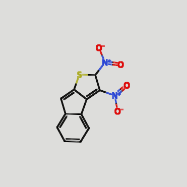 O=[N+]([O-])C1=C2C(=Cc3ccccc32)SC1[N+](=O)[O-]